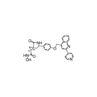 O=C(NO)[C@H]1C[C@@]12CC(c1ccc(OCc3cc(-c4ccncc4)nc4ccccc34)cc1)NC2=O